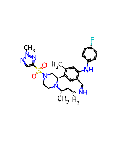 CC[C@H](C)N1CCN(S(=O)(=O)c2cnn(C)n2)C[C@H]1c1cc(C=N)c(Nc2ccc(F)cc2)cc1C